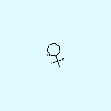 FC(F)(F)C1CCCCCN1